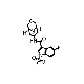 CN1[C@@H]2COC[C@H]1CC(NC(=O)c1cn(S(C)(=O)=O)c3ccc(F)cc13)C2